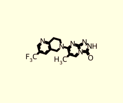 Cc1cn2c(=O)[nH]nc2nc1N1CCc2ncc(C(F)(F)F)cc2C1